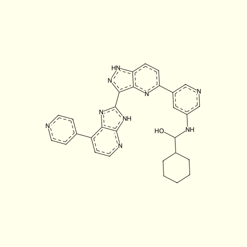 OC(Nc1cncc(-c2ccc3[nH]nc(-c4nc5c(-c6ccncc6)ccnc5[nH]4)c3n2)c1)C1CCCCC1